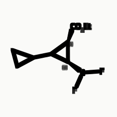 CCOC(=O)[C@@H]1C(C2CC2)[C@@H]1B(F)F